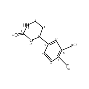 O=C1NCCC(c2ccc(F)c(F)c2)O1